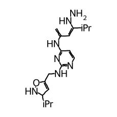 C=C(/C=C(\NN)C(C)C)Nc1ccnc(NCC2=CC(C(C)C)NO2)n1